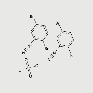 N#[N+]c1cc(Br)ccc1Br.N#[N+]c1cc(Br)ccc1Br.O=S(=O)([O-])[O-]